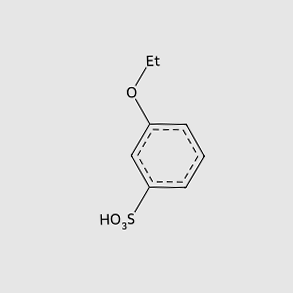 CCOc1cccc(S(=O)(=O)O)c1